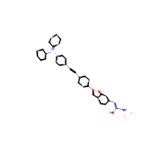 N#C/C(=C/c1ccc2cc(-c3ccc(C#Cc4ccc(N(c5ccccc5)c5ccccc5)cc4)cc3)oc2c1)C(=O)O